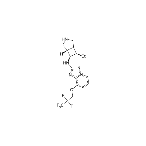 CC[C@@H]1C2CNC[C@H]2[C@@H]1Nc1nc2c(OCC(F)(F)C(F)(F)F)cccn2n1